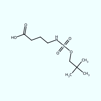 CC(C)(C)COS(=O)(=O)NCCCC(=O)O